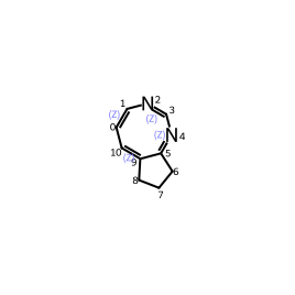 C1=C\N=C/N=C2/CCC/C2=C/1